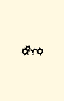 O=C(Cc1ccccc1)n1ccc2ccccc21